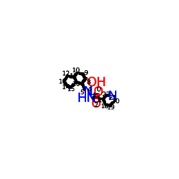 O=S(=O)(N/N=C/c1c(O)ccc2ccccc12)c1cccnc1